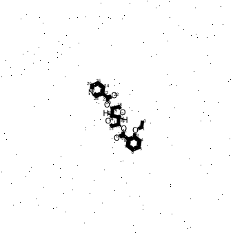 CCOc1ccccc1C(=O)O[C@H]1CO[C@H]2[C@@H]1OC[C@H]2OC(=O)c1cccnc1